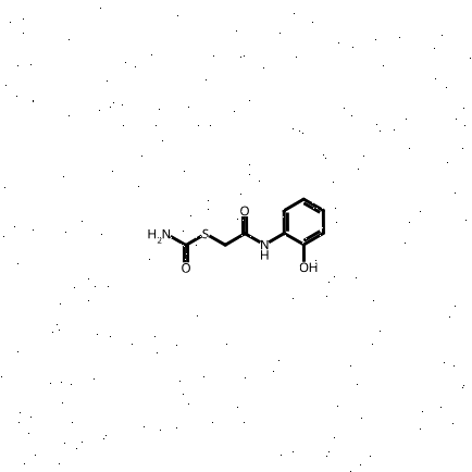 NC(=O)SCC(=O)Nc1ccccc1O